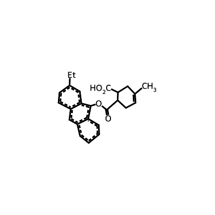 CCc1ccc2cc3ccccc3c(OC(=O)C3CC=C(C)CC3C(=O)O)c2c1